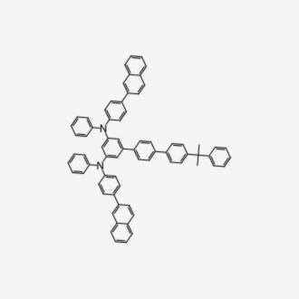 CC(C)(c1ccccc1)c1ccc(-c2ccc(-c3cc(N(c4ccccc4)c4ccc(-c5ccc6ccccc6c5)cc4)cc(N(c4ccccc4)c4ccc(-c5ccc6ccccc6c5)cc4)c3)cc2)cc1